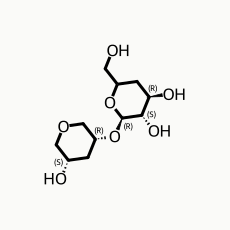 OCC1C[C@@H](O)[C@H](O)[C@@H](O[C@H]2COC[C@@H](O)C2)O1